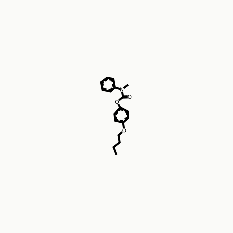 CCCCOc1ccc(OC(=O)N(C)c2ccccc2)cc1